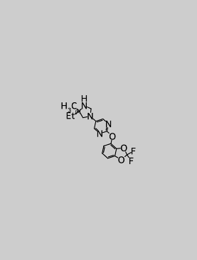 CC[C@]1(C)CN(c2cnc(Oc3cccc4c3OC(F)(F)O4)nc2)CN1